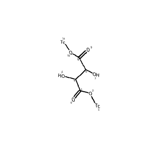 O=C([O][Tc])C(O)C(O)C(=O)[O][Tc]